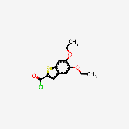 CCOc1cc2cc(C(=O)Cl)sc2cc1OCC